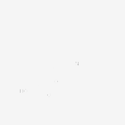 Cc1c2n(c3ccccc13)CCOC2(C)C(C)C(=O)O